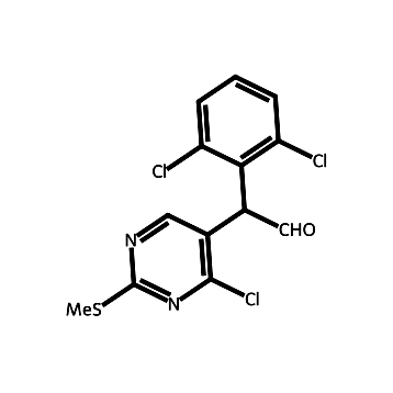 CSc1ncc(C(C=O)c2c(Cl)cccc2Cl)c(Cl)n1